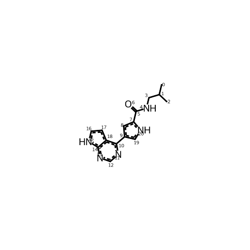 CC(C)CNC(=O)c1cc(-c2ncnc3[nH]ccc23)c[nH]1